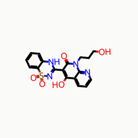 O=c1c(C2=NS(=O)(=O)c3ccccc3N2)c(O)c2cccnc2n1CCCO